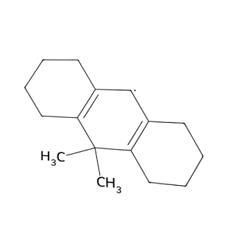 CC1(C)C2=C([CH]C3=C1CCCC3)CCCC2